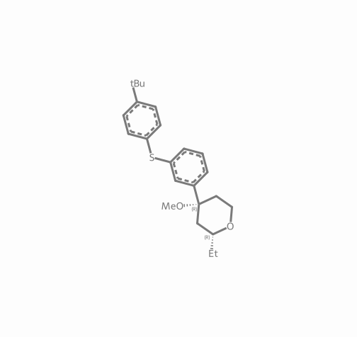 CC[C@@H]1C[C@@](OC)(c2cccc(Sc3ccc(C(C)(C)C)cc3)c2)CCO1